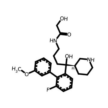 COc1cccc(-c2c(F)cccc2C(O)(CCCNC(=O)CO)[C@@H]2CCCNC2)c1